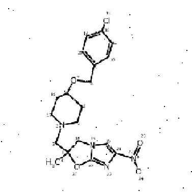 CC1(CN2CCC(OCc3ccc(Cl)cc3)CC2)Cn2cc([N+](=O)[O-])nc2O1